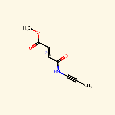 CC#CNC(=O)/C=C/C(=O)OC